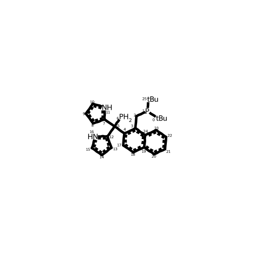 CC(C)(C)P(Cc1c(C(P)(c2ccc[nH]2)c2ccc[nH]2)ccc2ccccc12)C(C)(C)C